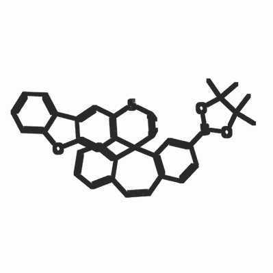 CC1(C)OB(c2ccc3c(c2)C2(c4ccccc4C=C3)c3ccccc3Sc3cc4c(cc32)oc2ccccc24)OC1(C)C